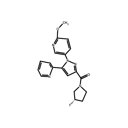 COc1ccc(-n2nc(C(=O)N3CC[C@H](F)C3)cc2-c2ccccn2)cn1